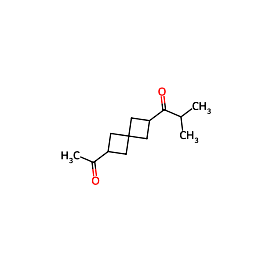 CC(=O)C1CC2(C1)CC(C(=O)C(C)C)C2